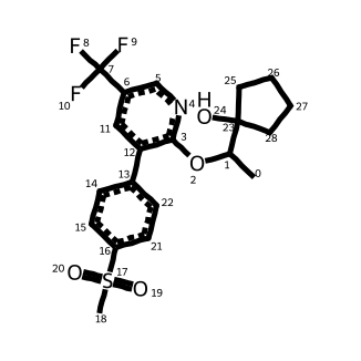 CC(Oc1ncc(C(F)(F)F)cc1-c1ccc(S(C)(=O)=O)cc1)C1(O)CCCC1